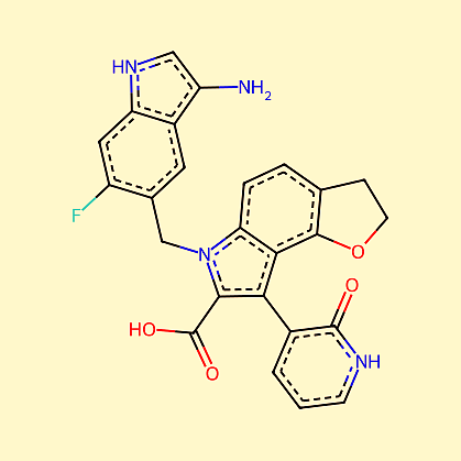 Nc1c[nH]c2cc(F)c(Cn3c(C(=O)O)c(-c4ccc[nH]c4=O)c4c5c(ccc43)CCO5)cc12